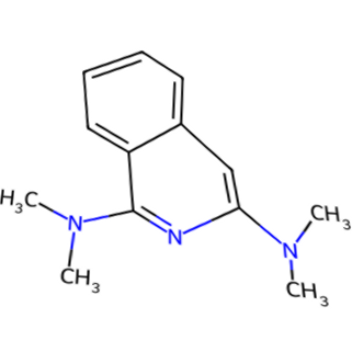 CN(C)c1cc2ccccc2c(N(C)C)n1